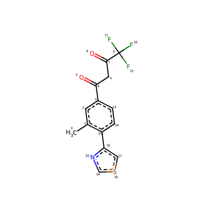 Cc1cc(C(=O)CC(=O)C(F)(F)F)ccc1-c1cscn1